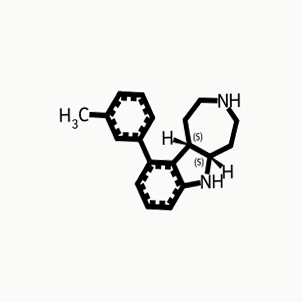 Cc1cccc(-c2cccc3c2[C@@H]2CCNCC[C@@H]2N3)c1